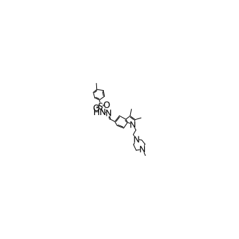 Cc1ccc(S(=O)(=O)NN=Cc2ccc3c(c2)c(C)c(C)n3CCN2CCN(C)CC2)cc1